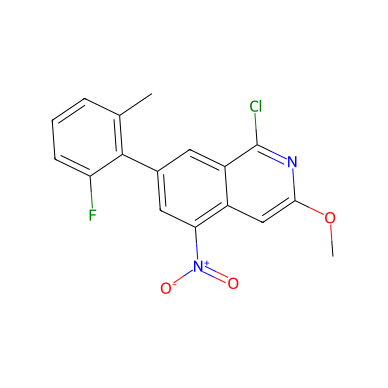 COc1cc2c([N+](=O)[O-])cc(-c3c(C)cccc3F)cc2c(Cl)n1